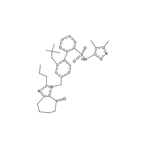 CCCc1nc2c(n1Cc1ccc(-c3ccccc3S(=O)(=O)Nc3onc(C)c3C)c(CC(C)(C)C)c1)C(=O)CCCC2